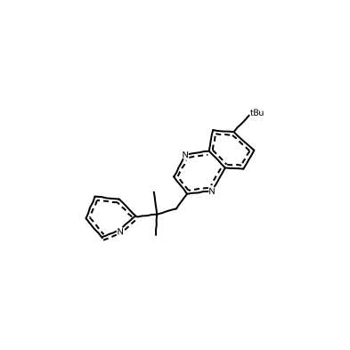 CC(C)(C)c1ccc2nc(CC(C)(C)c3ccccn3)cnc2c1